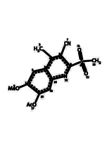 COc1cc2c(C)c(C#N)c(S(C)(=O)=O)nc2cc1OC(C)=O